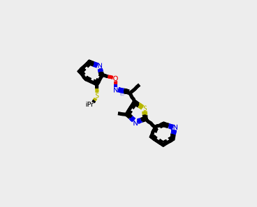 C/C(=N\Oc1ncccc1SC(C)C)c1sc(-c2cccnc2)nc1C